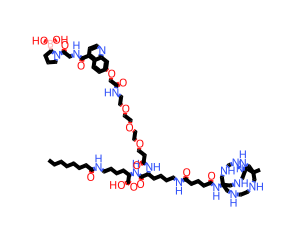 CCCCCCCC(=O)NCCCCC(NC(=O)C(CCCCNC(=O)CCCC(=O)NC12CNCCNCC3(C)CNN(CNC1)N(CCNC2)C3)NC(=O)CCOCCOCCOCCNC(=O)COc1ccc2c(C(=O)NCC(=O)N3CCCC3B(O)O)ccnc2c1)C(=O)O